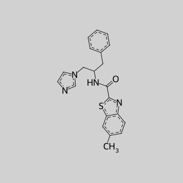 Cc1ccc2nc(C(=O)NC(Cc3ccccc3)Cn3ccnc3)sc2c1